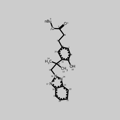 CCCCOC(=O)CCc1ccc(O)c(C(C)(C)Cn2nc3ccccc3n2)c1